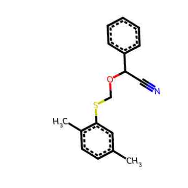 Cc1ccc(C)c(SCOC(C#N)c2ccccc2)c1